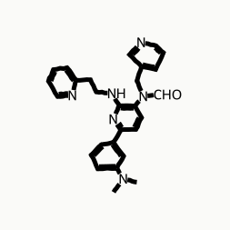 CN(C)c1cccc(-c2ccc(N(C=O)Cc3cccnc3)c(NCCc3ccccn3)n2)c1